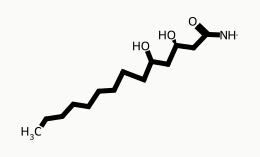 CCCCCCCCCC(O)C[C@@H](O)CC([NH])=O